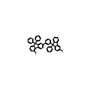 Ic1ccc2c(c1)-c1ccccc1C2(c1ccccc1)c1cccc(-c2ccc3c(c2)C(c2ccccc2)(c2ccccc2)c2cccc(I)c2-3)c1